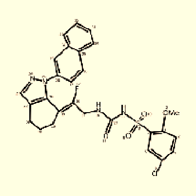 COc1ccc(Cl)cc1S(=O)(=O)NC(=O)NCC(F)=C1CCCc2cnn(-c3ccc4ccccc4c3)c21